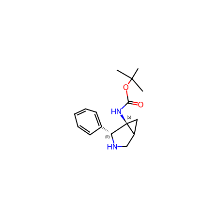 CC(C)(C)OC(=O)N[C@@]12CC1CN[C@@H]2c1ccccc1